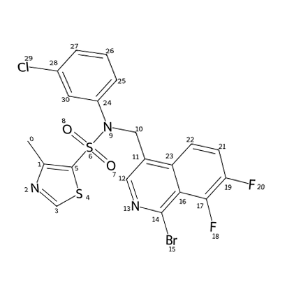 Cc1ncsc1S(=O)(=O)N(Cc1cnc(Br)c2c(F)c(F)ccc12)c1cccc(Cl)c1